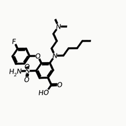 CCCCCN(CCCN(C)C)c1cc(C(=O)O)cc(S(N)(=O)=O)c1Oc1cccc(F)c1